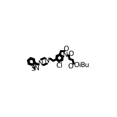 CC(C)COC(=O)CCC(=O)N1C(=O)Cc2cc(CCN3CCN(c4nsc5ccccc45)CC3)c(Cl)cc21